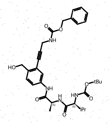 CC(C)[C@H](NC(=O)OC(C)(C)C)C(=O)N[C@@H](C)C(=O)Nc1ccc(CO)c(C#CCNC(=O)OCc2ccccc2)c1